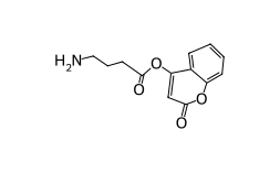 NCCCC(=O)Oc1cc(=O)oc2ccccc12